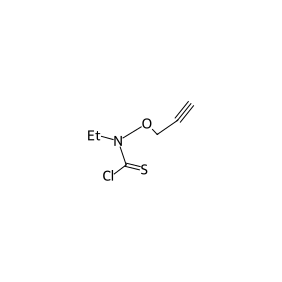 C#CCON(CC)C(=S)Cl